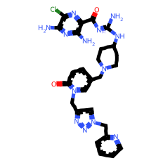 N/C(=N\C(=O)c1nc(Cl)c(N)nc1N)NC1CCN(Cc2ccc(=O)n(Cc3cn(Cc4ccccn4)nn3)c2)CC1